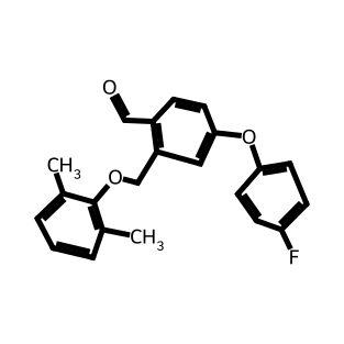 Cc1cccc(C)c1OCc1cc(Oc2ccc(F)cc2)ccc1C=O